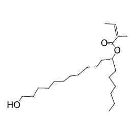 CC=C(C)C(=O)OC(CCCCCC)CCCCCCCCCCCO